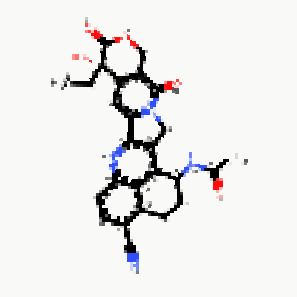 CC[C@@]1(O)C(=O)OCc2c1cc1n(c2=O)Cc2c-1nc1ccc(C#N)c3c1c2C(NC(C)=O)CC3